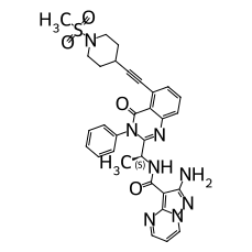 C[C@H](NC(=O)c1c(N)nn2cccnc12)c1nc2cccc(C#CC3CCN(S(C)(=O)=O)CC3)c2c(=O)n1-c1ccccc1